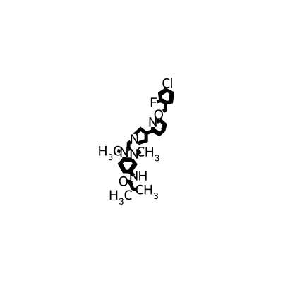 CC(C)C(=O)Nc1ccc2c(c1)N(C)C(CN1CCC(c3cccc(OCc4ccc(Cl)cc4F)n3)CC1)N2C